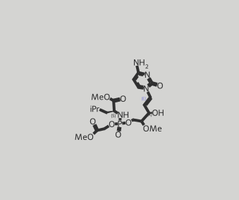 COC(=O)COP(=O)(N[C@@H](CC(C)C)C(=O)OC)OCC(OC)[C@H](O)/C=C/n1ccc(N)nc1=O